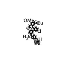 CCC(C)Oc1cc2c(cc1OC)CC(=O)N(c1ccc(C(C)N3CCC(NC(=O)OC(C)(C)C)CC3)cc1)C2c1ccc(Cl)cc1